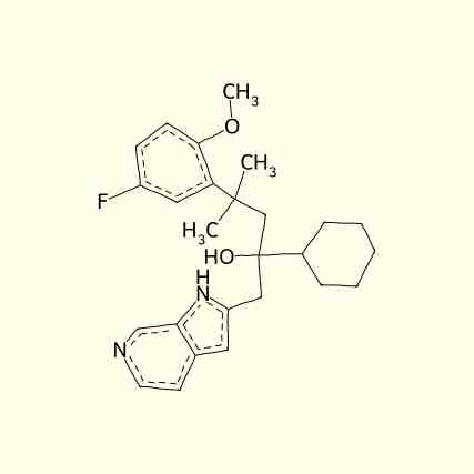 COc1ccc(F)cc1C(C)(C)CC(O)(Cc1cc2ccncc2[nH]1)C1CCCCC1